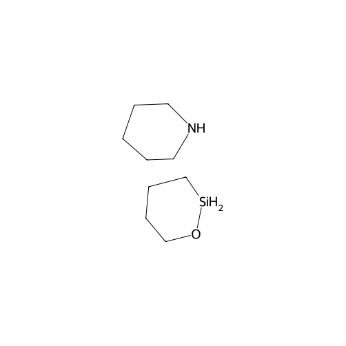 C1CCNCC1.C1CC[SiH2]OC1